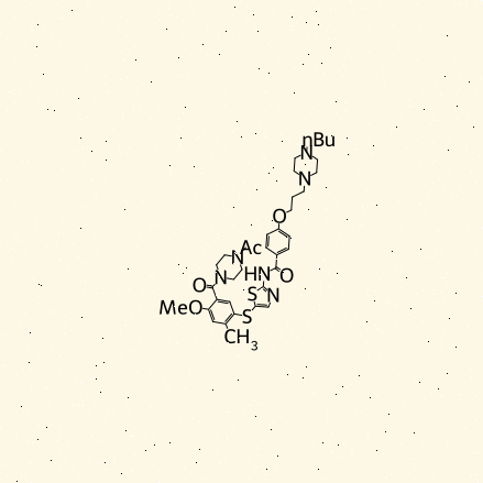 CCCCN1CCN(CCCOc2ccc(C(=O)Nc3ncc(Sc4cc(C(=O)N5CCN(C(C)=O)CC5)c(OC)cc4C)s3)cc2)CC1